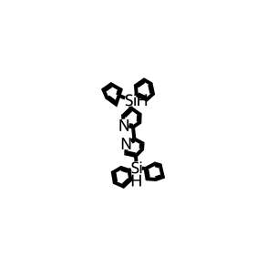 c1ccc([SiH](c2ccccc2)c2ccc(-c3ccc([SiH](c4ccccc4)c4ccccc4)cn3)nc2)cc1